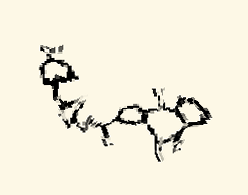 CCN1c2ccc(C(=O)NCc3cnc(-c4ccc(O)cc4)s3)cc2NC(=O)c2ccccc21